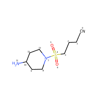 N#CCCCS(=O)(=O)N1CCC(N)CC1